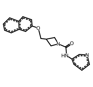 O=C(Nc1cccnc1)N1CC(COc2ccc3ccccc3c2)C1